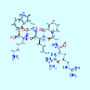 N=C(N)NCCC[C@H](NC(=O)CN)C(=O)NCC(=O)N1CCCC[C@H]1C(=O)N[C@@H](CCCCN)C(=O)N[C@@H](Cc1c[nH]c2ccccc12)C(=O)N[C@@H](CCCCN)C(=O)O